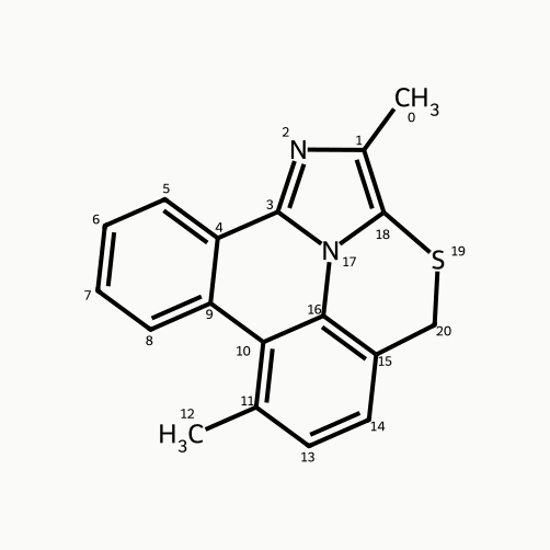 Cc1nc2c3ccccc3c3c(C)ccc4c3n2c1SC4